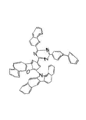 c1ccc(-c2ccc(-c3nc(-c4ccc5ccccc5c4)nc(-c4cc(-n5c6cc7ccccc7cc6c6ccc7ccccc7c65)c5oc6c7ccccc7ccc6c5c4)n3)cc2)cc1